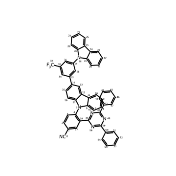 N#Cc1ccc(-n2c3ccccc3c3cc(-c4cc(-n5c6ccccc6c6ccccc65)cc(C(F)(F)F)c4)ccc32)c(-c2nc(-c3ccccc3)nc(-c3ccccc3)n2)c1